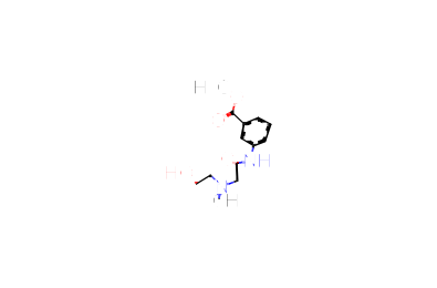 COC(=O)c1cccc(NC(=O)CN(C)CCO)c1